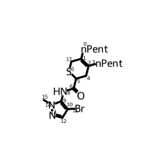 CCCCCC1=C(CCCCC)CC(C(=O)Nc2c(Br)cnn2C)SC1